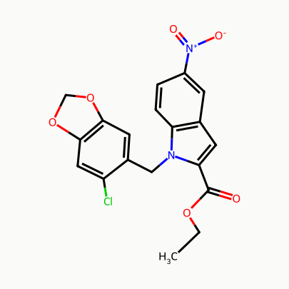 CCOC(=O)c1cc2cc([N+](=O)[O-])ccc2n1Cc1cc2c(cc1Cl)OCO2